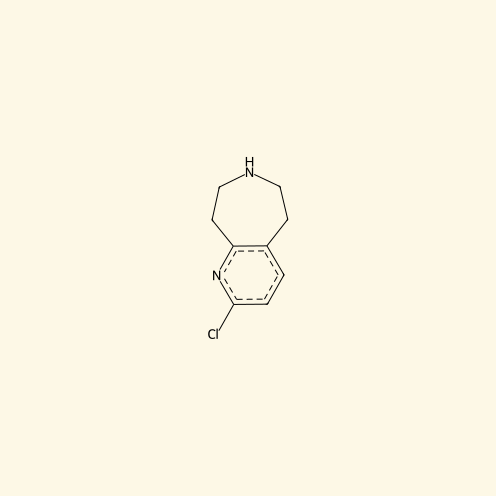 Clc1ccc2c(n1)CCNCC2